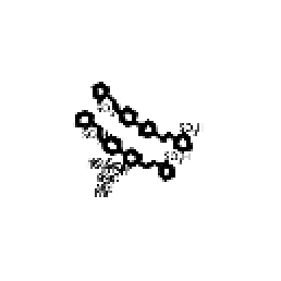 O=S(=O)(O)O.O=S(=O)(O)O.O=S(=O)(O)c1ccccc1C=Cc1ccc(-c2ccc(C=Cc3ccccc3S(=O)(=O)O)cc2)cc1.O=S(=O)(O)c1ccccc1C=Cc1ccc(-c2ccc(C=Cc3ccccc3S(=O)(=O)O)cc2)cc1.O=S(=O)([O-])[O-].[Na+].[Na+]